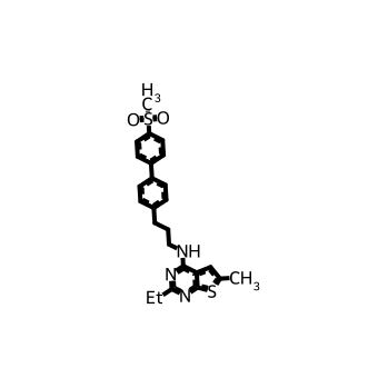 CCc1nc(NCCCc2ccc(-c3ccc(S(C)(=O)=O)cc3)cc2)c2cc(C)sc2n1